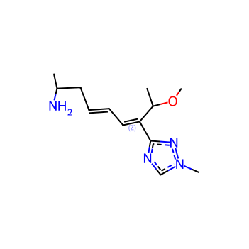 COC(C)/C(=C\C=CCC(C)N)c1ncn(C)n1